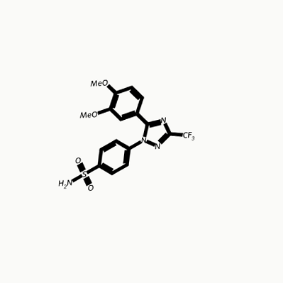 COc1ccc(-c2nc(C(F)(F)F)nn2-c2ccc(S(N)(=O)=O)cc2)cc1OC